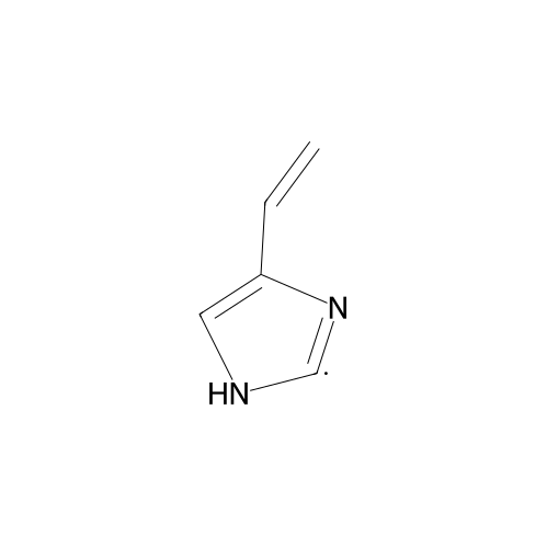 C=Cc1c[nH][c]n1